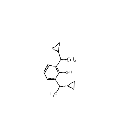 CC(c1cccc(C(C)C2CC2)c1S)C1CC1